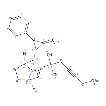 C=C1C(c2ccccc2)C1[C@@H]1C(C(C#N)(C#N)CC#CCOC(C)=O)=C[C@H]2CC[C@@H]1N2